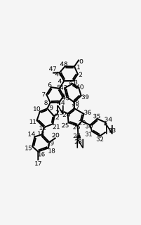 Cc1ccc(-c2ccc3c4ccc(-c5ccc(C)cc5C)cc4n(-c4cc(C#N)c(-c5ccncc5)cc4-c4ccccc4)c3c2)c(C)c1